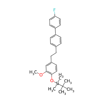 COc1cc(CCc2ccc(-c3ccc(F)cc3)cc2)ccc1O[Si](C)(C)C(C)(C)C